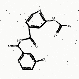 CC(C)C(=O)Nc1cc(C(=O)NC(C)c2cccc(C(F)(F)F)c2)ccn1